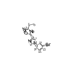 CCc1noc(-c2cn(-c3cccc(Br)c3)cn2)n1